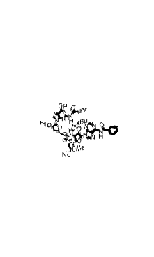 COC[C@H]1O[C@@H](n2cnc3c(NC(=O)c4ccccc4)ncnc32)[C@H](O[Si](C)(C)C(C)(C)C)[C@@H]1NP(=O)(OCCC#N)OC[C@@H]1C[C@@H](O)[C@H](n2cnc3c(=O)[nH]c(NC(=O)C(C)C)nc32)O1